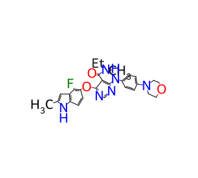 CCN(C)C(=O)c1c(Nc2ccc(N3CCOCC3)cc2)ncnc1Oc1ccc2[nH]c(C)cc2c1F